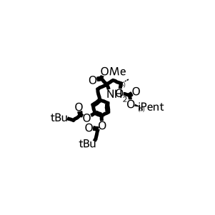 CCC[C@H](C)OC(=O)O[C@@H](C)CC(N)(Cc1ccc(OC(=O)CC(C)(C)C)c(OC(=O)CC(C)(C)C)c1)C(=O)OC